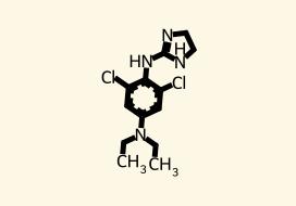 CCN(CC)c1cc(Cl)c(NC2=NCCN2)c(Cl)c1